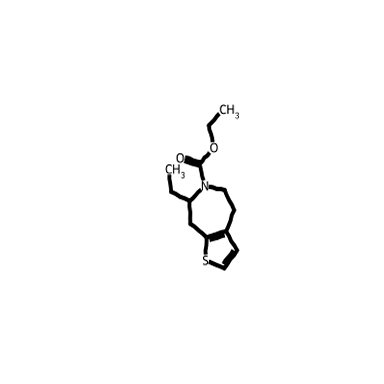 CCOC(=O)N1CCc2ccsc2CC1CC